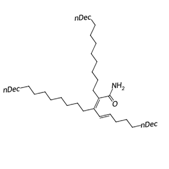 CCCCCCCCCCCCCC=CC(CCCCCCCCCCCCCCCCCC)=C(CCCCCCCCCCCCCCCCCC)C(N)=O